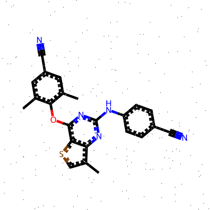 Cc1cc(C#N)cc(C)c1Oc1nc(Nc2ccc(C#N)cc2)nc2c(C)csc12